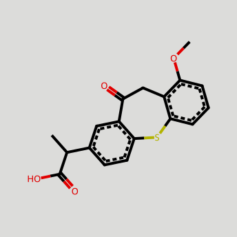 COc1cccc2c1CC(=O)c1cc(C(C)C(=O)O)ccc1S2